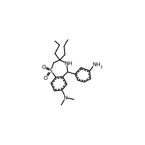 CCCC1(CCC)CS(=O)(=O)c2ccc(N(C)C)cc2C(c2cccc(N)c2)N1